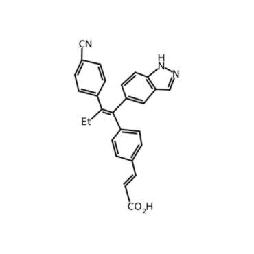 CCC(=C(c1ccc(C=CC(=O)O)cc1)c1ccc2[nH]ncc2c1)c1ccc(C#N)cc1